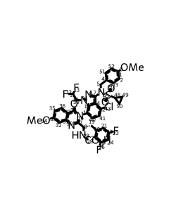 COc1ccc(CN(c2nn(CC(F)F)c3c(-n4c([C@H](Cc5cc(F)cc(F)c5)NC(=O)O)nc5cc(OC)ccc5c4=O)ccc(Cl)c23)S(=O)(=O)C2CC2)cc1